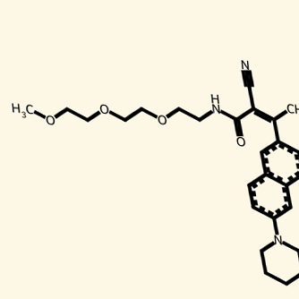 COCCOCCOCCNC(=O)C(C#N)=C(C)c1ccc2cc(N3CCCCC3)ccc2c1